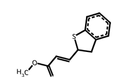 COC(=O)/C=C/C1Cc2ccccc2S1